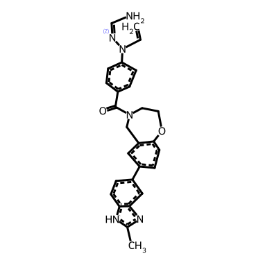 C=CN(/N=C\N)c1ccc(C(=O)N2CCOc3ccc(-c4ccc5[nH]c(C)nc5c4)cc3C2)cc1